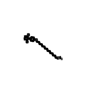 CCCCCCCCCCCCCCCCOc1ccc(N2C(=O)N=NC2=O)cc1